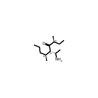 CCC[C@H](C)[C@H](C(=O)[C@@H](C)CC)C(C)N